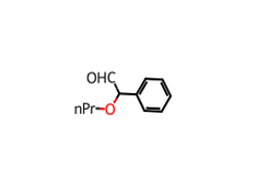 CCCOC(C=O)c1ccccc1